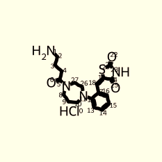 Cl.NCCCC(=O)N1CCCN(c2ccccc2C=C2SC(=O)NC2=O)CC1